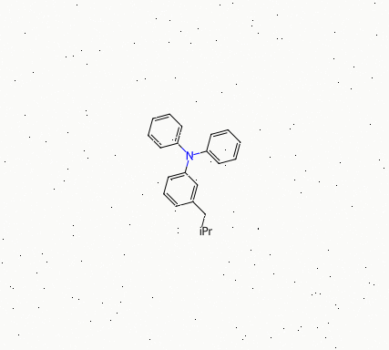 CC(C)Cc1cccc(N(c2ccccc2)c2ccccc2)c1